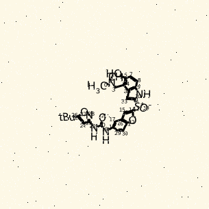 CN(C)Cc1c(O)ccc2[nH]c([S+]([O-])c3cc4cc(NC(=O)Nc5cc(C(C)(C)C)on5)ccc4o3)cc12